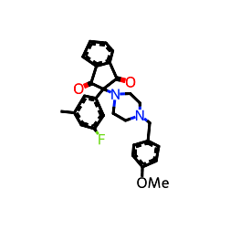 COc1ccc(CN2CCN(C3(c4cc(C)cc(F)c4)C(=O)c4ccccc4C3=O)CC2)cc1